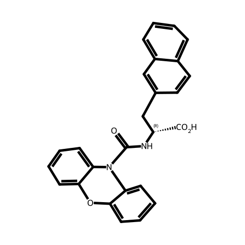 O=C(O)[C@@H](Cc1ccc2ccccc2c1)NC(=O)N1c2ccccc2Oc2ccccc21